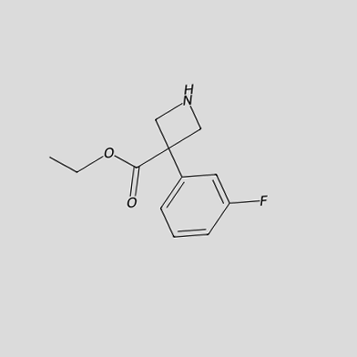 CCOC(=O)C1(c2cccc(F)c2)CNC1